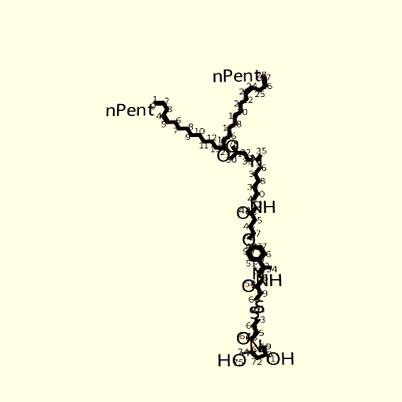 CCCCC/C=C\C/C=C\CCCCCCCCC1(CCCCCCCC/C=C\C/C=C\CCCCC)OCC(CCN(C)CCCCCCNC(=O)CCCOc2ccc(/C(C)=N/NC(=O)CCSSCCCC(=O)N3C[C@H](O)C[C@H]3CO)cc2)O1